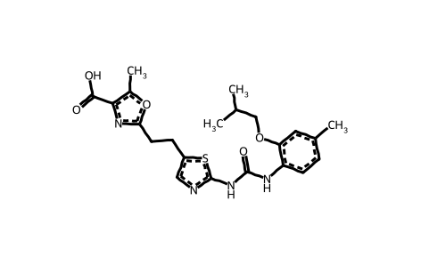 Cc1ccc(NC(=O)Nc2ncc(CCc3nc(C(=O)O)c(C)o3)s2)c(OCC(C)C)c1